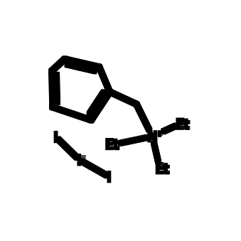 CC[N+](CC)(CC)Cc1ccccc1.I[I-]I